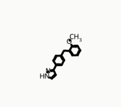 COc1ccccc1Cc1ccc(-c2cc[nH]n2)cc1